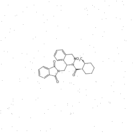 O=C(O)[C@H]1CCCC[C@H]1C(=O)N1CCc2ccccc2C1CN1C(=O)c2ccccc2C1=O